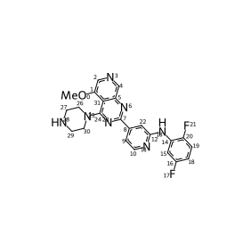 COc1cncc2nc(-c3ccnc(Nc4cc(F)ccc4F)c3)nc(N3CCNCC3)c12